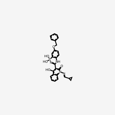 O=c1c(C2=NS(O)(O)c3cc(OCc4ccccc4)ccc3N2)c(O)c2ccccc2n1N=CC1CC1